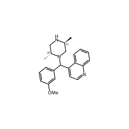 COc1cccc(C(c2ccnc3ccccc23)N2C[C@H](C)NC[C@H]2C)c1